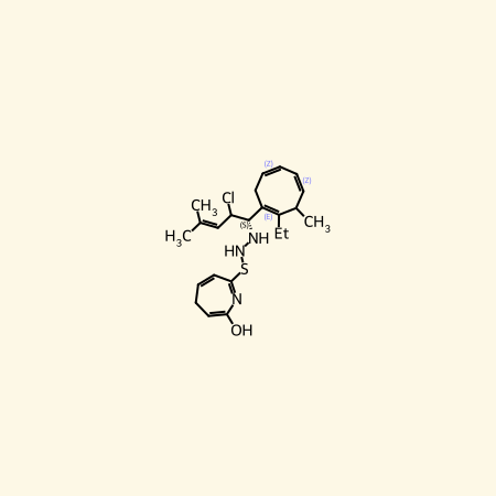 CC/C1=C(\[C@H](NNSC2=NC(O)=CCC=C2)C(Cl)C=C(C)C)C/C=C\C=C/C1C